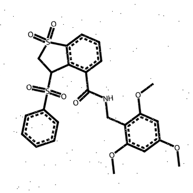 COc1cc(OC)c(CNC(=O)c2cccc3c2C(S(=O)(=O)c2ccccc2)CS3(=O)=O)c(OC)c1